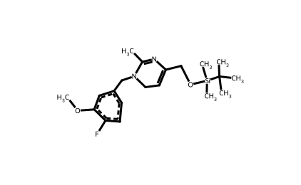 COc1cc(CN2CC=C(CO[Si](C)(C)C(C)(C)C)N=C2C)ccc1F